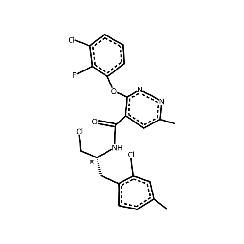 Cc1ccc(C[C@H](CCl)NC(=O)c2cc(C)nnc2Oc2cccc(Cl)c2F)c(Cl)c1